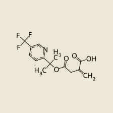 C=C(CC(=O)OC(C)(C)c1ccc(C(F)(F)F)cn1)C(=O)O